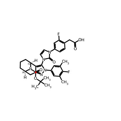 Cc1cc(-n2nc3c(c2-n2ccn(-c4ccc(CC(=O)O)c(F)c4)c2=O)[C@@H]2CCC[C@H](C3)N2C(=O)OC(C)(C)C)cc(C)c1F